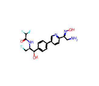 NCC(=NO)c1ccc(-c2ccc([C@@H](O)[C@@H](CF)NC(=O)C(F)F)cc2)cn1